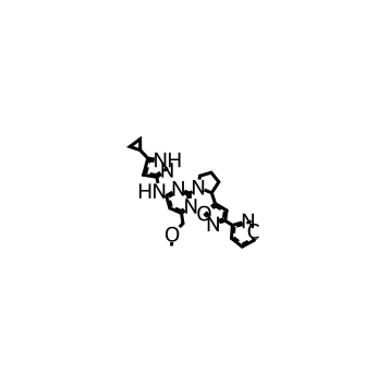 COCc1cc(Nc2cc(C3CC3)[nH]n2)nc(N2CCCC2c2cc(-c3ccccn3)no2)n1